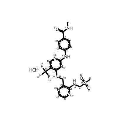 CNC(=O)c1ccc(Nc2ncc(C(F)(F)F)c(NCc3nccnc3NCS(C)(=O)=O)n2)cc1.Cl